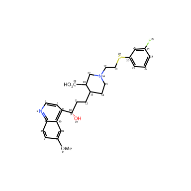 COc1ccc2nccc([C@@H](O)CCC3CCN(CCSc4cccc(F)c4)CC3C(=O)O)c2c1